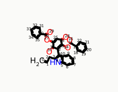 C=CCc1[nH]c2ccccc2c1C1=C(OC(=O)c2ccccc2)C(=O)C=C(OC(=O)c2ccccc2)C1=O